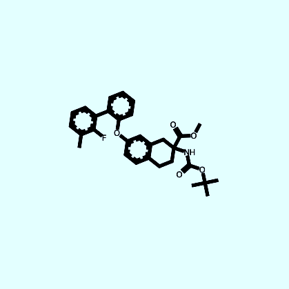 COC(=O)C1(NC(=O)OC(C)(C)C)CCc2ccc(Oc3ccccc3-c3cccc(C)c3F)cc2C1